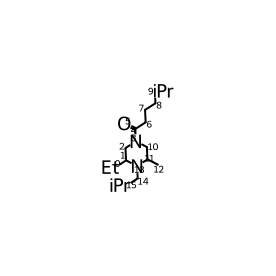 CCC1CN(C(=O)CCCC(C)C)CC(C)N1CC(C)C